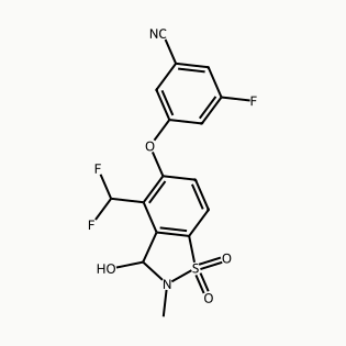 CN1C(O)c2c(ccc(Oc3cc(F)cc(C#N)c3)c2C(F)F)S1(=O)=O